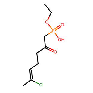 CCOP(=O)(O)CC(=O)CCC=C(C)Cl